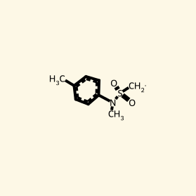 [CH2]S(=O)(=O)N(C)c1ccc(C)cc1